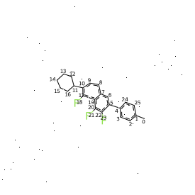 Cc1ccc(-c2cc3ccc(C4CCCCC4)c(F)c3c(F)c2F)cc1